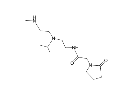 CNCCN(CCNC(=O)CN1CCCC1=O)C(C)C